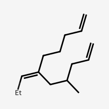 C=CCCCC(=CCC)CC(C)CC=C